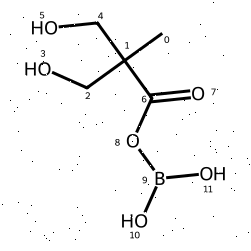 CC(CO)(CO)C(=O)OB(O)O